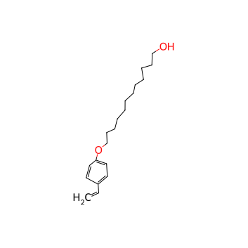 C=Cc1ccc(OCCCCCCCCCCCCO)cc1